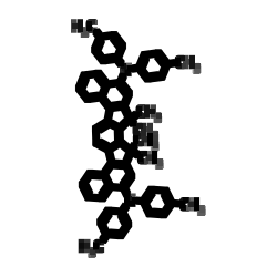 Cc1ccc(N(c2ccc(C)cc2)c2cc3c(c4ccccc24)-c2ccc4c(c2C3(C)C)C(C)(C)c2cc(N(c3ccc(C)cc3)c3ccc(C)cc3)c3ccccc3c2-4)cc1